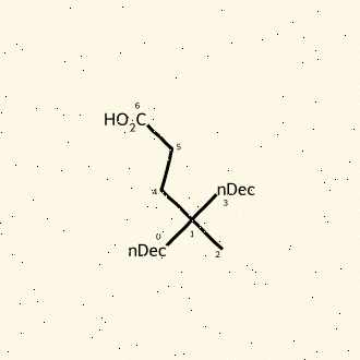 CCCCCCCCCCC(C)(CCCCCCCCCC)CCC(=O)O